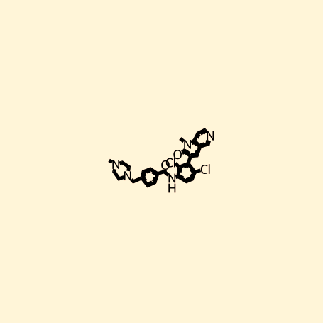 CN1CCN(Cc2ccc(C(=O)Nc3ccc(Cl)c(-c4cc5cnccc5n(C)c4=O)c3Cl)cc2)CC1